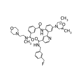 C[C@@H]1CN(c2ccc(NC(=O)c3cccc(C(=O)N(C)CCN4CCOCC4)c3)c(-c3cc(C(=O)NCc4cccc(CF)c4)ccn3)c2)C[C@H](C)O1